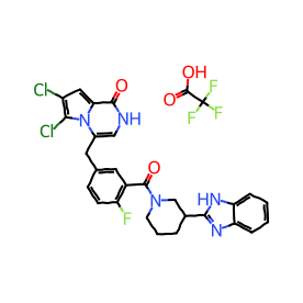 O=C(O)C(F)(F)F.O=C(c1cc(Cc2c[nH]c(=O)c3cc(Cl)c(Cl)n23)ccc1F)N1CCCC(c2nc3ccccc3[nH]2)C1